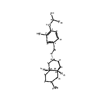 CCCC1CC[C@@H]2C[C@H](CCc3ccc(OC(F)F)c(F)c3)CC[C@@H]2C1